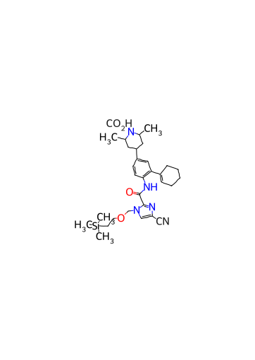 CC1CC(c2ccc(NC(=O)c3nc(C#N)cn3COCC[Si](C)(C)C)c(C3=CCCCC3)c2)CC(C)N1C(=O)O